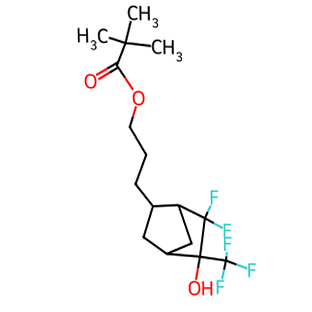 CC(C)(C)C(=O)OCCCC1CC2CC1C(F)(F)C2(O)C(F)(F)F